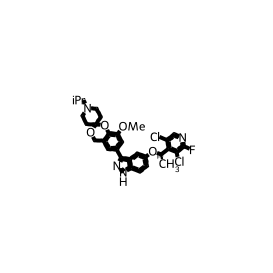 COc1cc(-c2n[nH]c3ccc(O[C@H](C)c4c(Cl)cnc(F)c4Cl)cc23)cc2c1OC1(CCN(C(C)C)CC1)OC2